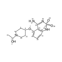 CC(O)N1CCC(Oc2cccc3c2C(N)=NS(=O)(=O)N3)CC1